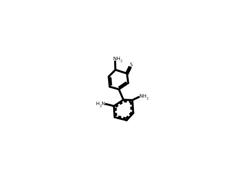 Nc1cccc(N)c1C1=CC(=S)C(N)C=C1